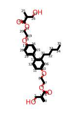 C=C(CO)C(=O)OCCOc1ccc(-c2ccc(OCCOC(=O)C(C)CO)cc2)c(CCCCC)c1